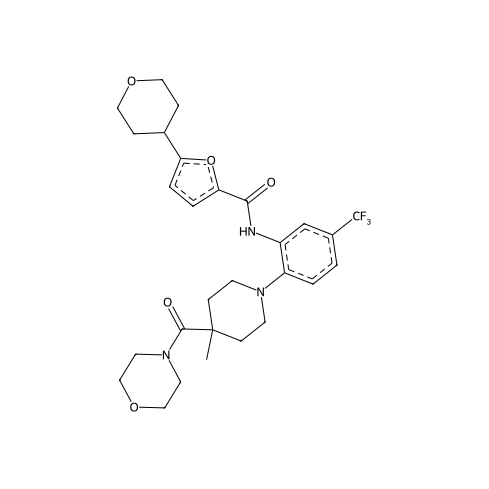 CC1(C(=O)N2CCOCC2)CCN(c2ccc(C(F)(F)F)cc2NC(=O)c2ccc(C3CCOCC3)o2)CC1